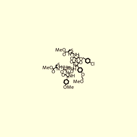 CC[C@@H](C)[C@@H](C(=O)Nc1nc(C(=O)OC)cs1)N1C(=O)N[C@H](c2ccc(OC)cc2)C1=O.COCCOc1ccc([C@H]2NC(=O)N([C@H](C(=O)Nc3nc(C(=O)OC)cs3)[C@@H](C)OCc3ccc(Cl)cc3)C2=O)cc1